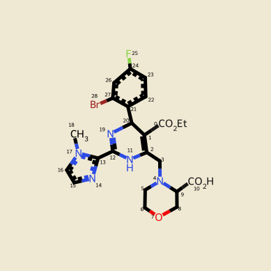 CCOC(=O)C1=C(CN2CCOCC2C(=O)O)NC(c2nccn2C)=NC1c1ccc(F)cc1Br